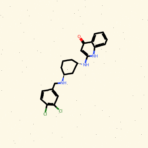 O=c1cc(N[C@H]2CCC[C@H](NCc3ccc(Cl)c(Cl)c3)C2)[nH]c2ccccc12